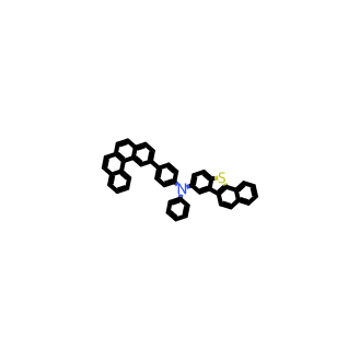 c1ccc(N(c2ccc(-c3ccc4ccc5ccc6ccccc6c5c4c3)cc2)c2ccc3sc4c5ccccc5ccc4c3c2)cc1